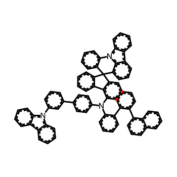 c1cc(-c2ccc(N(c3ccccc3-c3ccccc3-c3cccc4ccccc34)c3cccc4c3-c3ccccc3C43c4ccccc4-n4c5ccccc5c5cccc3c54)cc2)cc(-n2c3ccccc3c3ccccc32)c1